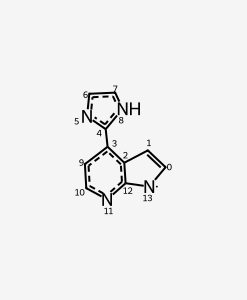 C1=Cc2c(-c3ncc[nH]3)ccnc2[N]1